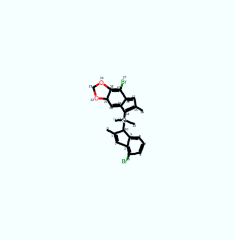 CC1=Cc2c(Br)cccc2C1[Si](C)(C)C1=C(C)C=C2C1=CC1OCOC1=C2Br